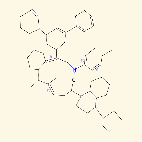 C/C=C(\C=C/CC)N1C/C(C2CC(C3=CC=CCC3)=CC(C3C=CCCC3)C2)=C2/CCCCC2C(C)/C(C)=C/CC(C2CCC(C(CC)CC)C3=C2CCCC3)C1